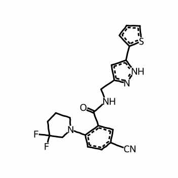 N#Cc1ccc(N2CCCC(F)(F)C2)c(C(=O)NCc2cc(-c3cccs3)[nH]n2)c1